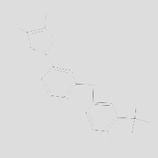 Cc1nc(-c2ccnc(Nc3ccc(Cl)c(C(F)(F)F)c3)n2)sc1C